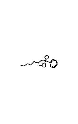 CCCCCCCC(OC)(OC)c1ccccc1